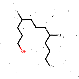 CCC(CCCO)CCCC(C)CCCC(C)C